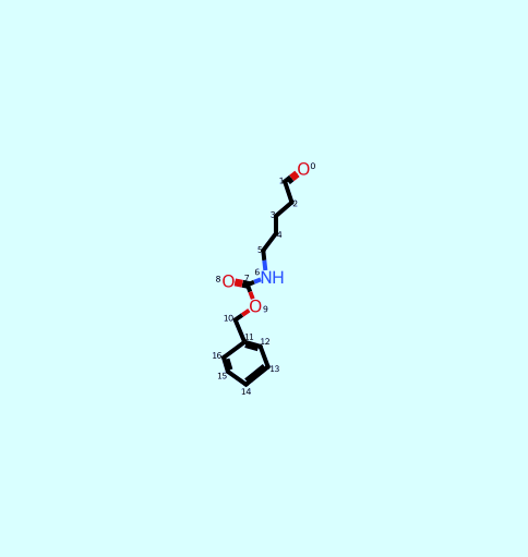 O=CCCCCNC(=O)OCc1ccccc1